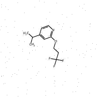 CC(C)c1ccnc(OCCC(F)(F)F)c1